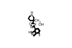 C[C@@]1(c2nc(-c3ccc(F)c4cn[nH]c34)no2)CCCNC1.Cl